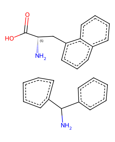 NC(c1ccccc1)c1ccccc1.N[C@@H](Cc1cccc2ccccc12)C(=O)O